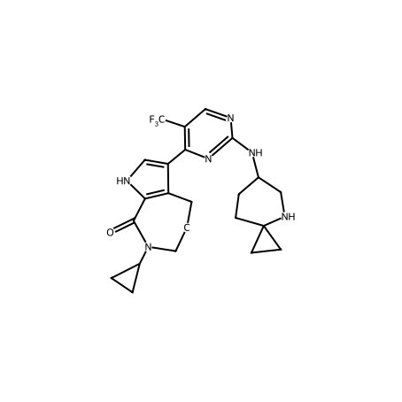 O=C1c2[nH]cc(-c3nc(NC4CCC5(CC5)NC4)ncc3C(F)(F)F)c2CCCN1C1CC1